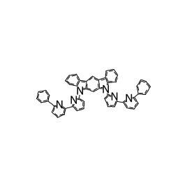 c1ccc(-c2cccc(-c3cccc(-n4c5ccccc5c5cc6c7ccccc7n(-c7cccc(-c8cccc(-c9ccccc9)n8)n7)c6cc54)n3)n2)cc1